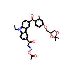 CCn1c2ccc(C(=O)C=NOC(C)=O)cc2c2cc(C(=O)c3ccc(OCC4COC(C)(C)O4)cc3C)ccc21